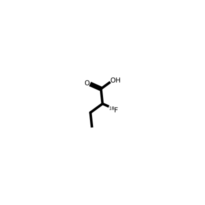 CCC([18F])C(=O)O